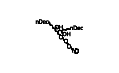 CCCCCCCCCCCCCCC(O)CC(CCOCCOCCOCCN1CCCCC1)CC(CO)CCCCCCCCCCCCCC